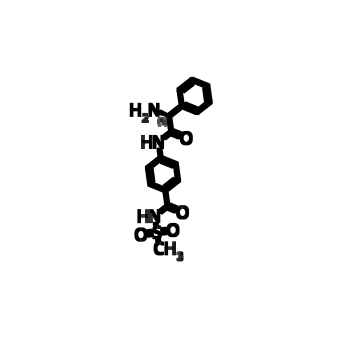 CS(=O)(=O)NC(=O)c1ccc(NC(=O)[C@@H](N)c2ccccc2)cc1